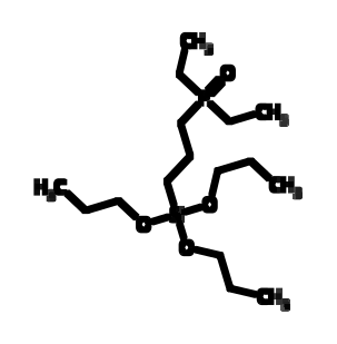 CCCO[Si](CCCP(=O)(CC)CC)(OCCC)OCCC